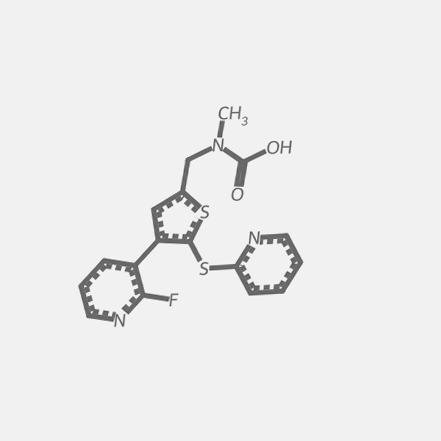 CN(Cc1cc(-c2cccnc2F)c(Sc2ccccn2)s1)C(=O)O